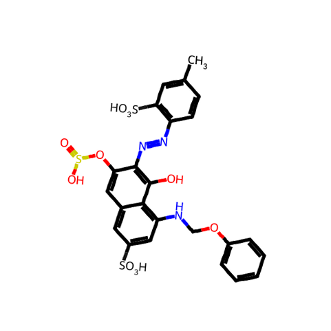 Cc1ccc(N=Nc2c(OS(=O)O)cc3cc(S(=O)(=O)O)cc(NCOc4ccccc4)c3c2O)c(S(=O)(=O)O)c1